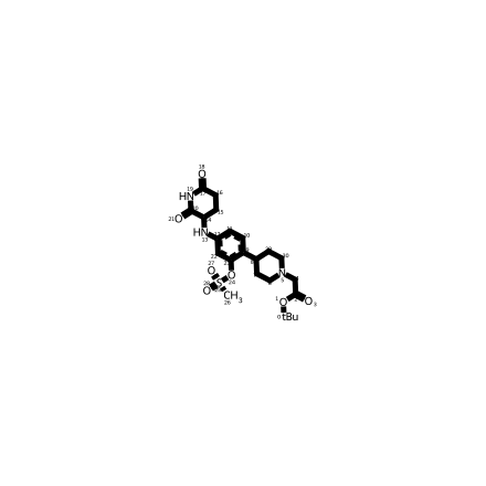 CC(C)(C)OC(=O)CN1CCC(c2ccc(NC3CCC(=O)NC3=O)cc2OS(C)(=O)=O)CC1